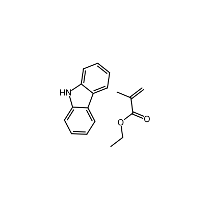 C=C(C)C(=O)OCC.c1ccc2c(c1)[nH]c1ccccc12